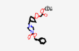 CC(C)(C)OC(=O)COC1CC(CN2CCN(C(=O)OCc3ccccc3)CC2)C1